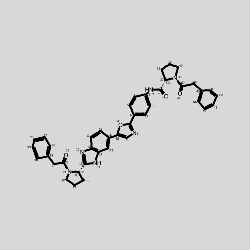 O=C(Nc1ccc(-c2ncc(-c3ccc4nc([C@@H]5CCCN5C(=O)Cc5ccccc5)[nH]c4c3)o2)cc1)[C@@H]1CCCN1C(=O)Cc1ccccc1